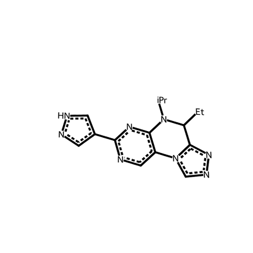 CCC1c2nncn2-c2cnc(-c3cn[nH]c3)nc2N1C(C)C